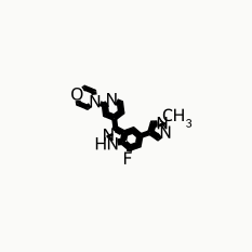 Cn1cc(-c2cc(F)c3[nH]nc(-c4ccnc(N5CCOCC5)c4)c3c2)cn1